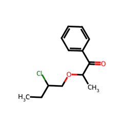 CCC(Cl)COC(C)C(=O)c1ccccc1